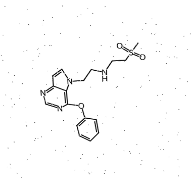 CS(=O)(=O)CCNCCn1ccc2ncnc(Oc3ccccc3)c21